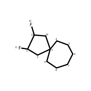 FC1CC2(CCCCCC2)CC1F